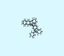 c1ccc(-n2c3ccccc3c3cc4c5cccc6c7cc8ccccc8cc7n(c4cc32)c65)cc1